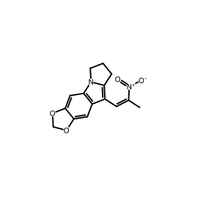 CC(=Cc1c2n(c3cc4c(cc13)OCO4)CCC2)[N+](=O)[O-]